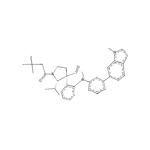 CC(C)[C@@H]1N(C(=O)CC(C)(C)C)CC[C@]1(C=O)c1ccccc1N(C)c1cccc(-c2ccc3ccn(C)c3c2)c1